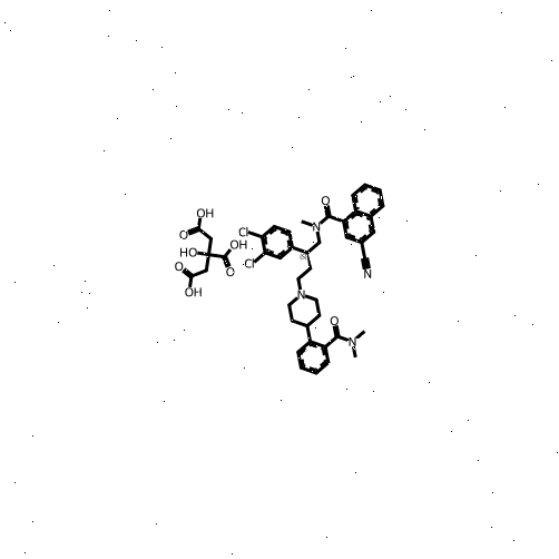 CN(C)C(=O)c1ccccc1C1CCN(CC[C@H](CN(C)C(=O)c2cc(C#N)cc3ccccc23)c2ccc(Cl)c(Cl)c2)CC1.O=C(O)CC(O)(CC(=O)O)C(=O)O